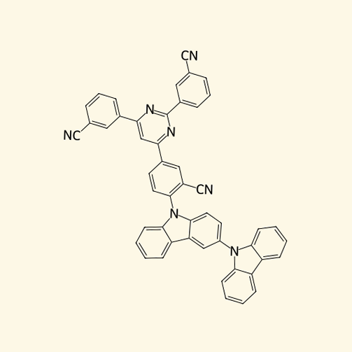 N#Cc1cccc(-c2cc(-c3ccc(-n4c5ccccc5c5cc(-n6c7ccccc7c7ccccc76)ccc54)c(C#N)c3)nc(-c3cccc(C#N)c3)n2)c1